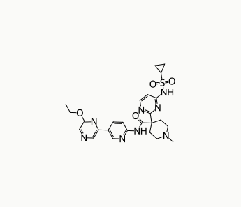 CCOc1cncc(-c2ccc(NC(=O)C3(c4nccc(NS(=O)(=O)C5CC5)n4)CCN(C)CC3)nc2)n1